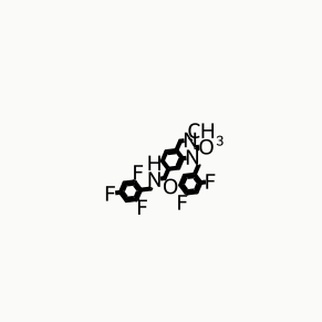 CN1CC2=CCC(C(=O)NCc3c(F)cc(F)cc3F)C=C2N(Cc2ccc(F)cc2F)C1=O